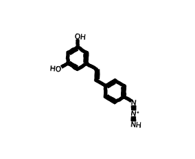 N=[N+]=Nc1ccc(/C=C/c2cc(O)cc(O)c2)cc1